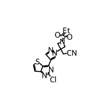 CCS(=O)(=O)N1CC(CC#N)(n2cc(-c3nc(Cl)nc4ccsc34)cn2)C1